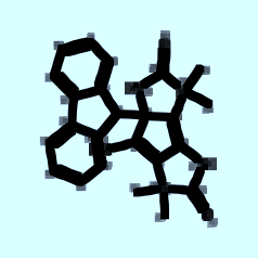 BC1=C2C(=C3C1(C1c4ccccc4-c4ccccc41)NC(=O)[Si]3(C)C)NC(=O)[Si]2(C)C